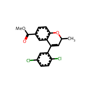 COC(=O)c1ccc2c(c1)C(c1cc(Cl)ccc1Cl)=CC(C)O2